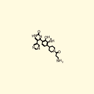 CNc1c(C2CCN(C(=O)CCN)CC2)ccc(-c2nc(=O)[nH]cc2-c2cncnc2)c1O